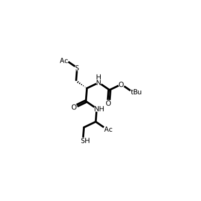 CC(=O)SC[C@H](NC(=O)OC(C)(C)C)C(=O)NC(CS)C(C)=O